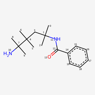 CC(C)(CC(C)(C)C(C)(C)N)NC(=O)c1ccccc1